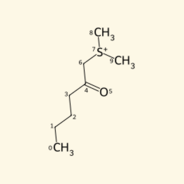 CCCCC(=O)C[S+](C)C